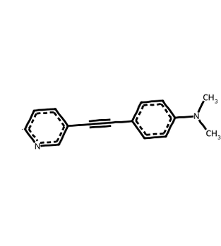 CN(C)c1ccc(C#Cc2cc[c]nc2)cc1